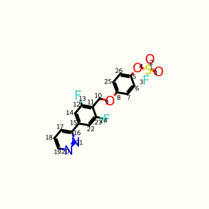 O=S(=O)(F)Oc1ccc(OCc2c(F)cc(-c3cccnn3)cc2F)cc1